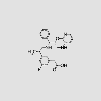 C[C@@H](CN[C@H](c1ccccc1)[C@H]1CNc2cccnc2O1)c1cc(F)cc(CC(=O)O)c1